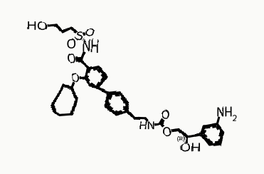 Nc1cccc([C@@H](O)COC(=O)NCCc2ccc(-c3ccc(C(=O)NS(=O)(=O)CCCO)c(OC4CCCCC4)c3)cc2)c1